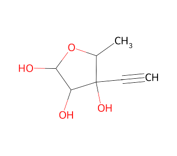 C#CC1(O)C(C)OC(O)C1O